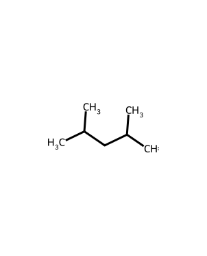 [CH]C(C)CC(C)C